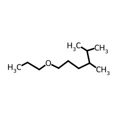 CCCOCCCC(C)C(C)C